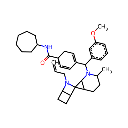 C=CCN1C2CCC2C12C1CCC(C)N(C(C3=CCC(C(=O)NC4CCCCCC4)C=C3)c3cccc(OC)c3)C12